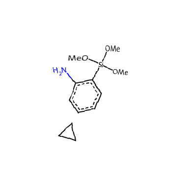 C1CC1.CO[Si](OC)(OC)c1ccccc1N